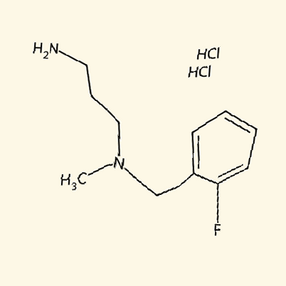 CN(CCCN)Cc1ccccc1F.Cl.Cl